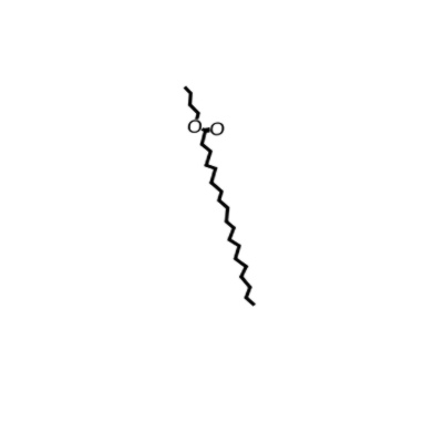 CCCCCCCCCCCCCCCCCCC(=O)OCCCC